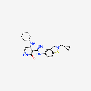 N=C(Nc1ccc2c(c1)CN(CC1CC1)S2)c1c(NC2CCCCC2)cc[nH]c1=O